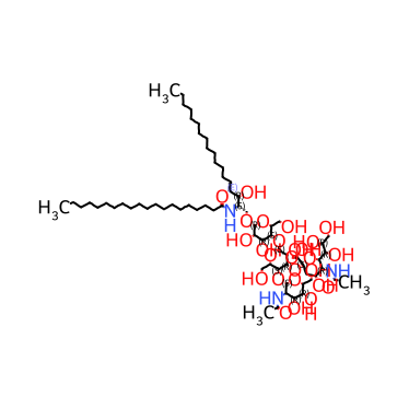 CCCCCCCCCCCCC/C=C/[C@@H](O)[C@H](CO[C@@H]1OC(CO)[C@@H](O[C@@H]2OC(CO)[C@H](O[C@@H]3OC(CO)[C@H](O)[C@H](O)C3NC(C)=O)[C@H](O[C@]3(C(=O)O)CC(O)[C@@H](NC(C)=O)C([C@H](O)[C@H](O)CO)O3)C2O)[C@H](O)C1O)NC(=O)CCCCCCCCCCCCCCCCCCC